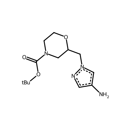 CC(C)(C)OC(=O)N1CCOC(Cn2cc(N)cn2)C1